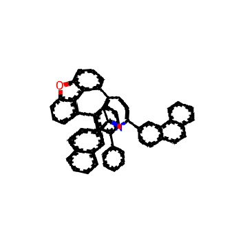 C1=CC(c2cccc3oc4cccc(-c5cccc(-c6ccccc6)c5)c4c23)=CC(c2ccc3ccccc3c2)=NC=1c1ccc2ccc3ccccc3c2c1